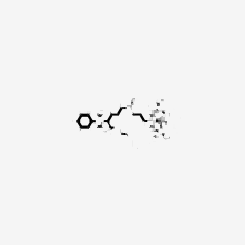 CCOC(=O)/C(=C\C=C\N(C)C/C=C/[Si](C)(O[SiH](C)C)O[Si](C)(C)C)S(=O)(=O)c1ccccc1